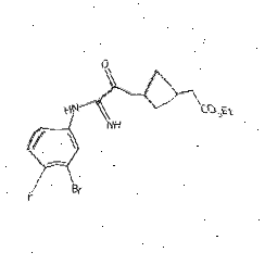 CCOC(=O)CC1CC(C(=O)C(=N)Nc2ccc(F)c(Br)c2)C1